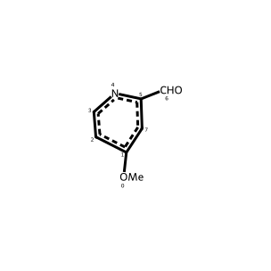 COc1ccnc(C=O)c1